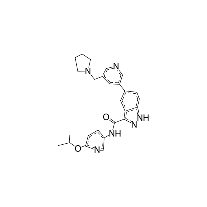 CC(C)Oc1ccc(NC(=O)c2n[nH]c3ccc(-c4cncc(CN5CCCC5)c4)cc23)cn1